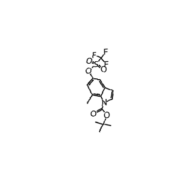 Cc1cc(OS(=O)(=O)C(F)(F)F)cc2ccn(C(=O)OC(C)(C)C)c12